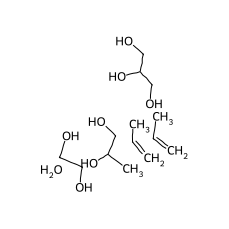 C=CC.C=CC.CC(O)CO.O.OCC(O)CO.OCCO